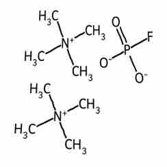 C[N+](C)(C)C.C[N+](C)(C)C.O=P([O-])([O-])F